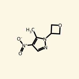 Cc1c([N+](=O)[O-])cnn1C1COC1